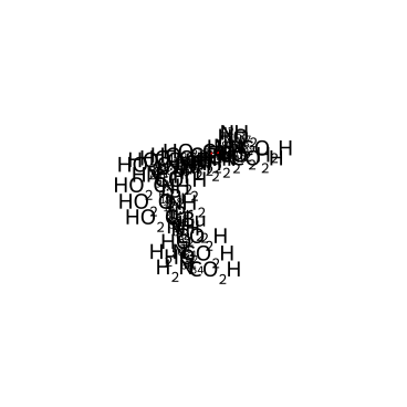 CC(C)C[C@H](N)C(=O)O.CC(C)C[C@H](N)C(=O)O.CC(C)C[C@H](N)C(=O)O.CC(C)C[C@H](N)C(=O)O.CC(C)[C@H](N)C(=O)O.CC(C)[C@H](N)C(=O)O.CC[C@H](C)[C@H](N)C(=O)O.CC[C@H](C)[C@H](N)C(=O)O.NCC(=O)O.NCC(=O)O.NCCCC[C@H](N)C(=O)O.N[C@@H](CO)C(=O)O.N[C@@H](CO)C(=O)O.N[C@@H](CO)C(=O)O.O=C(O)[C@@H]1CCCN1